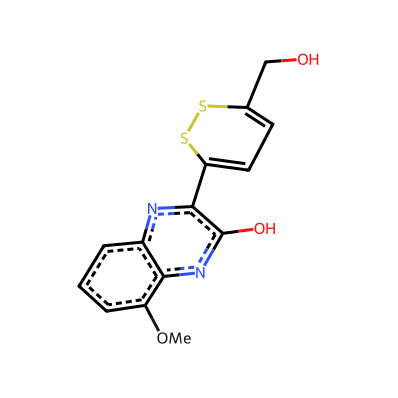 COc1cccc2nc(C3=CC=C(CO)SS3)c(O)nc12